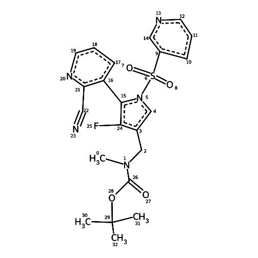 CN(Cc1cn(S(=O)(=O)c2cccnc2)c(-c2cccnc2C#N)c1F)C(=O)OC(C)(C)C